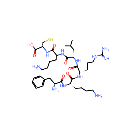 CC(C)C[C@H](NC(=O)[C@H](CCCNC(=N)N)NC(=O)[C@H](CCCCN)NC(=O)[C@@H](N)Cc1ccccc1)C(=O)N[C@@H](CCCCN)C(=O)N[C@@H](CS)C(=O)O